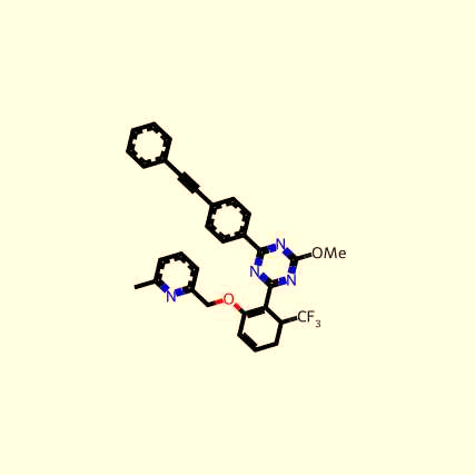 COc1nc(C2=C(OCc3cccc(C)n3)C=CCC2C(F)(F)F)nc(-c2ccc(C#Cc3ccccc3)cc2)n1